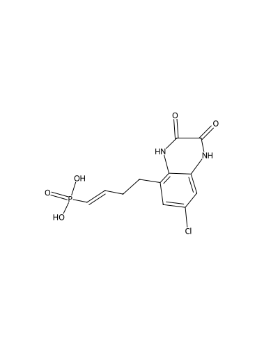 O=c1[nH]c2cc(Cl)cc(CC/C=C/P(=O)(O)O)c2[nH]c1=O